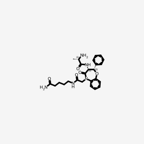 C[C@H](N)C(=O)N[C@H]1C(=O)N(CC(=O)NCCCCC(N)=O)c2ccccc2O[C@H]1c1ccccc1